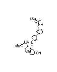 CCCCOCC(NC(=O)c1ccc(-c2cccc(CNC(=O)OC(C)(C)C)c2)cc1)C(CO)Cc1cccc(C#N)c1